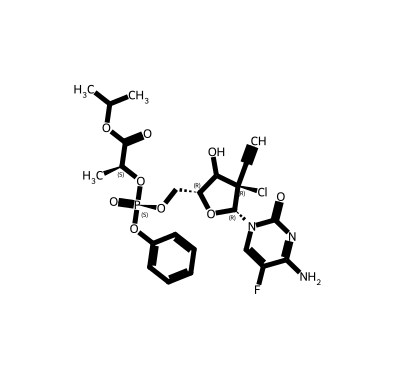 C#C[C@@]1(Cl)C(O)[C@@H](CO[P@](=O)(Oc2ccccc2)O[C@@H](C)C(=O)OC(C)C)O[C@H]1n1cc(F)c(N)nc1=O